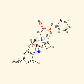 CCOC(=O)c1cc(OC)cc(C)c1NC(=O)C1([N+](CC)(CC)CC(=O)OCc2ccccc2)CCC1